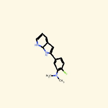 CN(C)c1cc(C2=CC3=CC=CNC3N2)ccc1F